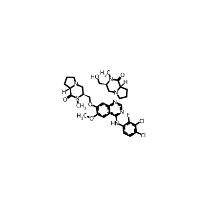 CN1C(=O)[C@@H]2CCCN2C[C@H]1CO.COc1cc2c(Nc3ccc(Cl)c(Cl)c3F)ncnc2cc1OC[C@@H]1CN2CCC[C@H]2C(=O)N1C